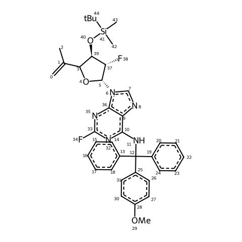 C=C(C)[C]1O[C@@H](n2cnc3c(NC(c4ccccc4)(c4ccccc4)c4ccc(OC)cc4)nc(F)nc32)[C@@H](F)[C@@H]1O[Si](C)(C)C(C)(C)C